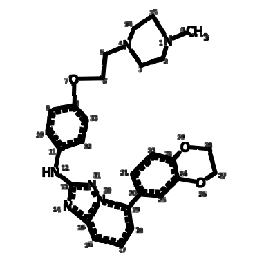 CN1CCN(CCOc2ccc(Nc3nc4cccc(-c5ccc6c(c5)OCCO6)n4n3)cc2)CC1